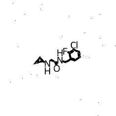 O=C(CNC1CC1)NCc1cccc(Cl)c1F